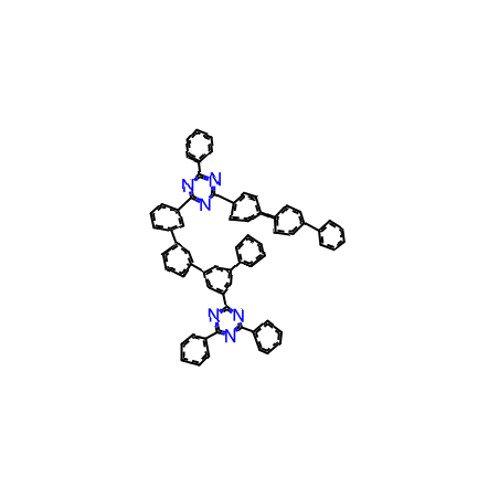 c1ccc(-c2ccc(-c3ccc(-c4nc(-c5ccccc5)nc(-c5cccc(-c6cccc(-c7cc(-c8ccccc8)cc(-c8nc(-c9ccccc9)nc(-c9ccccc9)n8)c7)c6)c5)n4)cc3)cc2)cc1